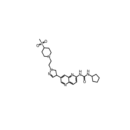 CS(=O)(=O)C1CCN(CCN2CC(c3cnc4ccc(NC(=O)NC5CCCC5)nc4c3)C=N2)CC1